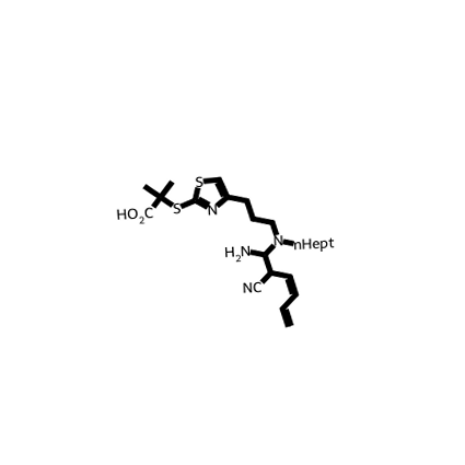 C=C/C=C\C(C#N)C(N)N(CCCCCCC)CCCc1csc(SC(C)(C)C(=O)O)n1